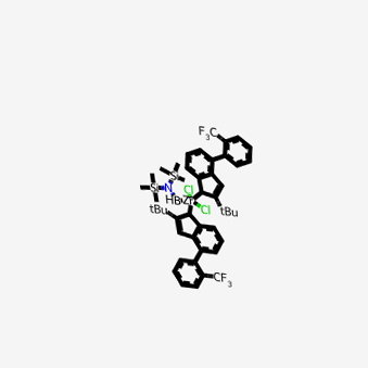 CC(C)(C)C1=Cc2c(-c3ccccc3C(F)(F)F)cccc2[CH]1[Zr]([Cl])([Cl])([BH]N([Si](C)(C)C)[Si](C)(C)C)[CH]1C(C(C)(C)C)=Cc2c(-c3ccccc3C(F)(F)F)cccc21